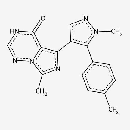 Cc1nc(-c2cnn(C)c2-c2ccc(C(F)(F)F)cc2)c2c(=O)[nH]cnn12